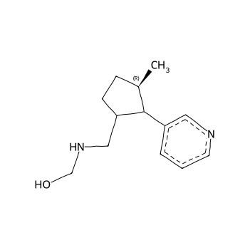 C[C@@H]1CCC(CNCO)C1c1cccnc1